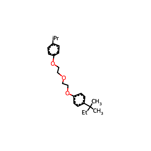 CCC(C)(C)c1ccc(OCCOCCOc2ccc(C(C)C)cc2)cc1